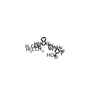 CC(C)(C)OC(=O)Nc1ccc(Oc2ccnc(Nc3cc(C(=O)O)cc(C(F)(F)F)c3)n2)c2ccccc12